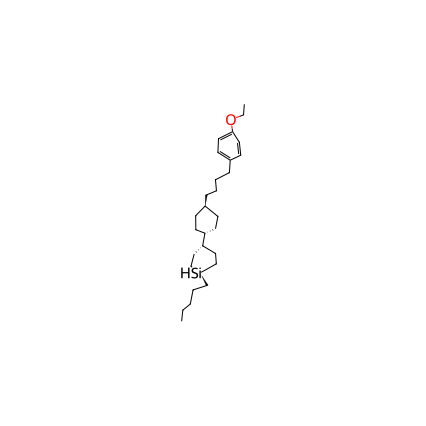 CCCCC[Si@H]1CC[C@H]([C@H]2CC[C@H](CCCCc3ccc(OCC)cc3)CC2)CC1